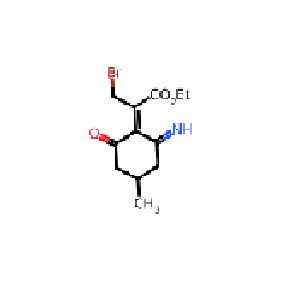 CCOC(=O)/C(CBr)=C1\C(=N)CC(C)CC1=O